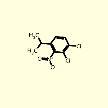 CC(C)c1ccc(Cl)c(Cl)c1[N+](=O)[O-]